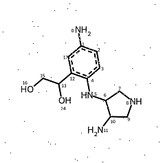 Nc1ccc(NC2CNCC2N)c(C(O)CO)c1